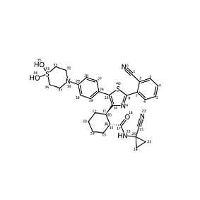 N#Cc1ccccc1-c1nc([C@@H]2CCCC[C@H]2C(=O)NC2(C#N)CC2)c(-c2ccc(N3CCS(O)(O)CC3)cc2)s1